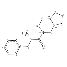 N[C@@H](Cc1ccccc1)C(=O)N1CCC2CCCC2C1